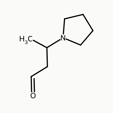 CC(CC=O)N1CCCC1